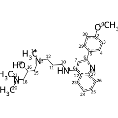 COc1ccc(-c2cc(NCCCN(C)CC(O)CN(C)C)c3ccccc3n2)cc1